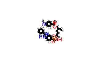 CCCCC(CC)COC(=O)c1ccc(N(C)C)cc1.O=S(=O)(O)c1ccc2[nH]c(-c3ccccc3)nc2c1